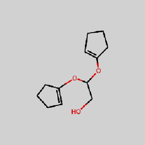 OCC(OC1=CCCC1)OC1=CCCC1